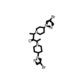 CC(C(=O)C(C)N1CCC(n2cc(Br)cn2)CC1)N1CCC(n2cc(Br)cn2)CC1